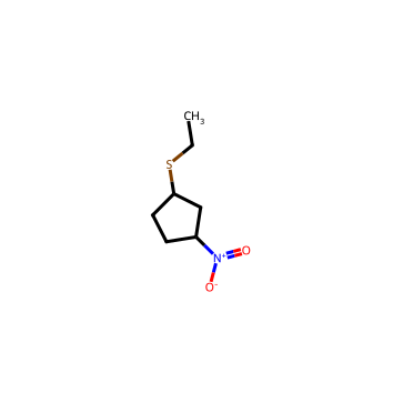 CCSC1CCC([N+](=O)[O-])C1